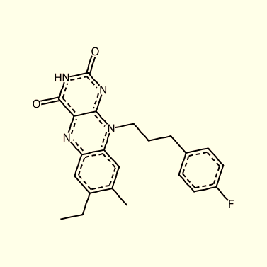 CCc1cc2nc3c(=O)[nH]c(=O)nc-3n(CCCc3ccc(F)cc3)c2cc1C